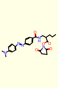 CCCC(CNC(=O)c1ccc(/N=N/c2ccc(N(C)C)cc2)cc1)C(=O)ON1C(=O)CCC1=O